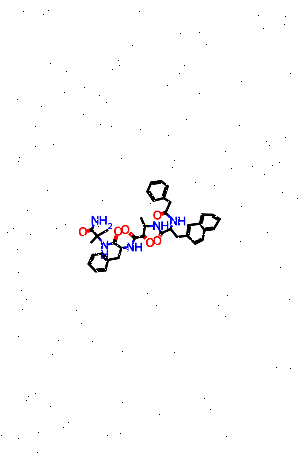 CC(NC(=O)C(Cc1ccc2ccccc2c1)NC(=O)Cc1ccccc1)C(=O)C(=O)NC(Cc1ccccc1)C(=O)NC(C)(C)C(N)=O